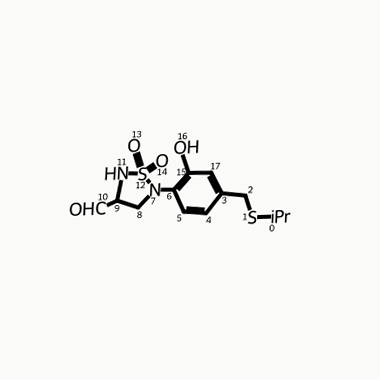 CC(C)SCc1ccc(N2CC(C=O)NS2(=O)=O)c(O)c1